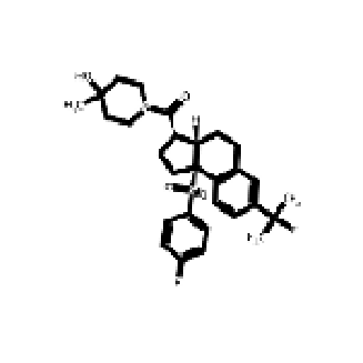 CC1(O)CCN(C(=O)[C@@H]2CC[C@@]3(S(=O)(=O)c4ccc(F)cc4)c4ccc(C(F)(C(F)(F)F)C(F)(F)F)cc4CC[C@@H]23)CC1